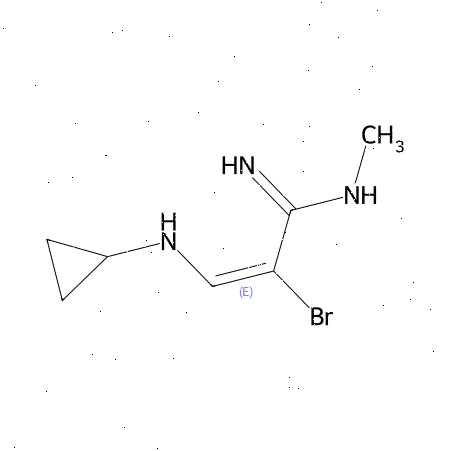 CNC(=N)/C(Br)=C\NC1CC1